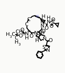 CC(C)(C)OC(=O)N[C@@H]1CCCCC/C=C\[C@@H]2C[C@@]2(C(=O)NS(=O)(=O)C2CC2)NC(=O)[C@@H]2[C@H]3CN(C(=O)c4cnc(-c5ccccc5)s4)C[C@H]3CN2C1=O